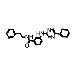 O=C(NCCc1ccccc1)c1cccc(Nc2cnc(-c3ccccc3)cn2)c1